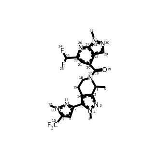 CC1c2nn(C)c(-c3cc(C(F)(F)F)n(C)n3)c2CCN1C(=O)c1cc(C(F)F)nc2c1cnn2C